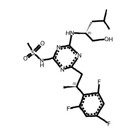 CC(C)C[C@H](CO)Nc1nc(C[C@H](C)c2c(F)cc(F)cc2F)nc(NS(C)(=O)=O)n1